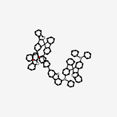 c1ccc(N(c2ccccc2)c2ccc3c(c2)C2(c4ccccc4-c4ccc(N(c5ccc(-c6ccc7c(c6)sc6c(N(c8ccccc8)c8ccc9c(c8)C8(c%10ccccc%10-9)c9cc(N(c%10ccccc%10)c%10ccccc%10)ccc9-c9c8sc8ccccc98)cccc67)cc5)c5cccc6c5oc5ccccc56)cc42)c2sc4ccccc4c2-3)cc1